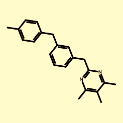 Cc1ccc(Cc2cccc(Cc3nc(C)c(C)c(C)n3)c2)cc1